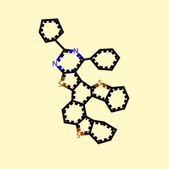 c1ccc(-c2nc(-c3ccccc3)c3c(n2)sc2c4ccc5sc6ccccc6c5c4c4c5ccccc5sc4c23)cc1